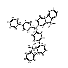 CC1(C)c2ccccc2-c2ccc(N(c3ccc(-c4ccccc4)cc3)c3ccc(-c4cccc5c4C(C)(C)c4ccccc4-5)cc3)cc21